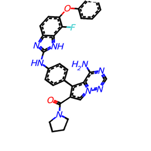 Nc1ncnn2cc(C(=O)N3CCCC3)c(-c3ccc(Nc4nc5ccc(Oc6ccccc6)c(F)c5[nH]4)cc3)c12